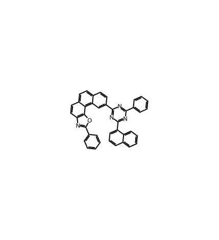 c1ccc(-c2nc(-c3ccc4ccc5ccc6nc(-c7ccccc7)oc6c5c4c3)nc(-c3cccc4ccccc34)n2)cc1